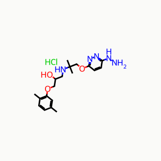 Cc1ccc(C)c(OCC(O)CNC(C)(C)COc2ccc(NN)nn2)c1.Cl